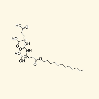 CCCCCCCCCCCCOC(=O)CC[C@H](NC(=O)N[C@@H](CCC(=O)O)C(=O)O)C(O)O